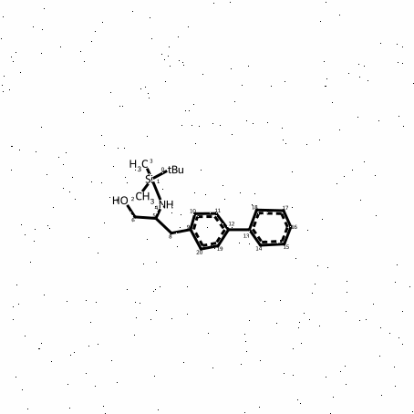 CC(C)(C)[Si](C)(C)NC(CO)Cc1ccc(-c2ccccc2)cc1